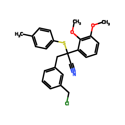 COc1cccc(C(C#N)(Cc2cccc(CCl)c2)Sc2ccc(C)cc2)c1OC